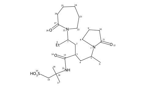 CCC(CC(CC(C)N1CCCC1=O)C(=O)NC(C)(C)CS(=O)(=O)O)N1CCCCCC1=O